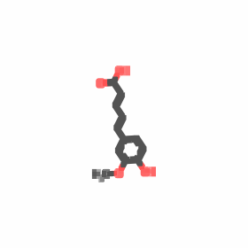 COc1cc(C=CC=CC(=O)O)ccc1O